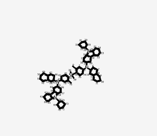 Cc1cc(N(c2ccc3ccccc3c2)c2ccc3c(c2)c2ccccc2n3-c2ccccc2)ccc1[Si](C)(C)c1ccc(N(c2ccc3ccccc3c2)c2ccc3c(c2)c2ccccc2n3-c2ccccc2)cc1C